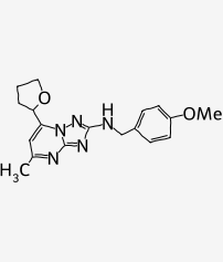 COc1ccc(CNc2nc3nc(C)cc(C4CCCO4)n3n2)cc1